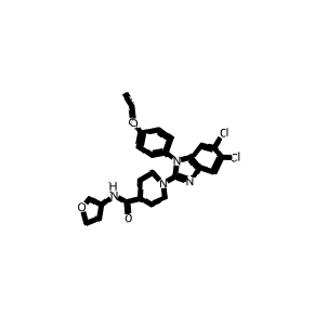 CCOc1ccc(-n2c(N3CCC(C(=O)NC4CCOC4)CC3)nc3cc(Cl)c(Cl)cc32)cc1